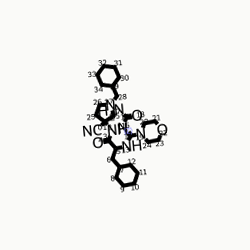 N#CC1(NC(=O)C(CC2CCCCC2)N/C(=N/C(N)=O)N2CCOCC2)CCN(CC2CCCCC2)C1